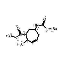 CC1C=CCC(NC(=O)OC(C)(C)C)CN1C(=O)OC(C)(C)C